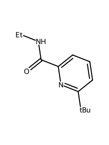 CCNC(=O)c1cccc(C(C)(C)C)n1